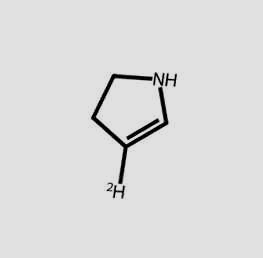 [2H]C1=CNCC1